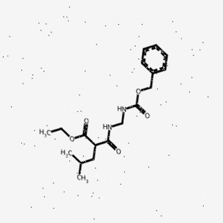 CCOC(=O)C(CC(C)C)C(=O)NCNC(=O)OCc1ccccc1